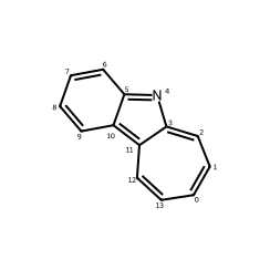 c1ccc2nc3ccccc3c-2cc1